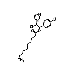 CCCCCCCCCC(=O)OC(c1ccc(Cl)cc1)C(Cl)n1ccnc1